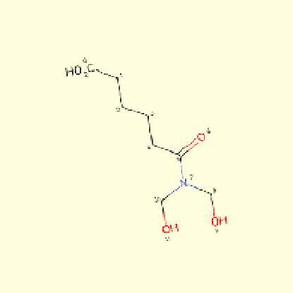 O=C(O)CCCCC(=O)N(CO)CO